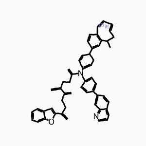 C=C(CCC(=C)c1cc2ccccc2o1)C(=C)CCC(=C)N(C1=CCC(c2ccc3c(c2)C(C)C/C=C/C=C\3)C=C1)c1ccc(-c2ccc3cccnc3c2)cc1